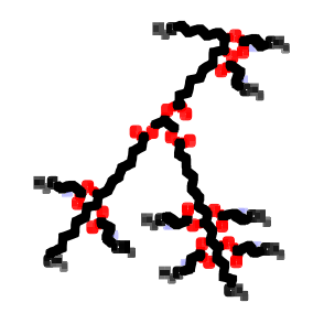 C/C=C/C(=O)OC(CCCCCC)C(CCCCCCCC(=O)OC(COC(=O)CCCCCCCC(OC(=O)/C=C/C)C(CCCCCCCC)OC(=O)/C=C/C)COC(=O)CCCCCCCC(OC(=O)/C=C/C)C(CC(OC(=O)/C=C/C)C(CCCCC)OC(=O)/C=C/C)OC(=O)/C=C/C)OC(=O)/C=C/C